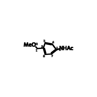 COCc1ccc(NC(C)=O)cc1